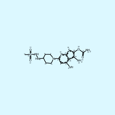 CCCc1cc(N2CCC(NNS(C)(=O)=O)CC2)nc2sc(OC(N)=O)c(N)c12